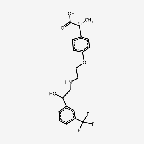 C[C@@H](C(=O)O)c1ccc(OCCNCC(O)c2cccc(C(F)(F)F)c2)cc1